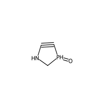 O=[PH]1C#CNC1